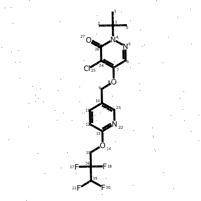 CC(C)(C)n1ncc(OCc2ccc(OCC(F)(F)C(F)F)nc2)c(Cl)c1=O